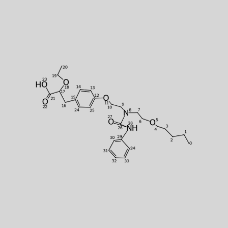 CCCCCOCCN(CCOc1ccc(CC(OCC)C(=O)O)cc1)C(=O)Nc1ccccc1